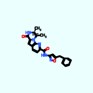 C[C@@H]1[C@@H](C)NC(=O)c2cc3ccc(C(=O)Nc4cc(Cc5ccccc5)on4)nc3n21